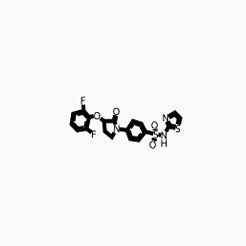 O=C1C(Oc2c(F)cccc2F)CCN1c1ccc(S(=O)(=O)Nc2nccs2)cc1